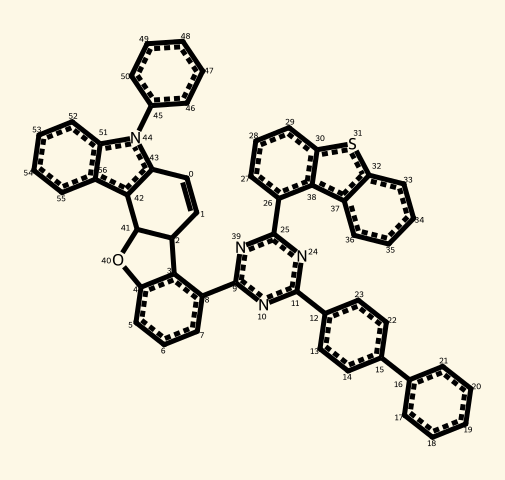 C1=CC2c3c(cccc3-c3nc(-c4ccc(-c5ccccc5)cc4)nc(-c4cccc5sc6ccccc6c45)n3)OC2c2c1n(-c1ccccc1)c1ccccc21